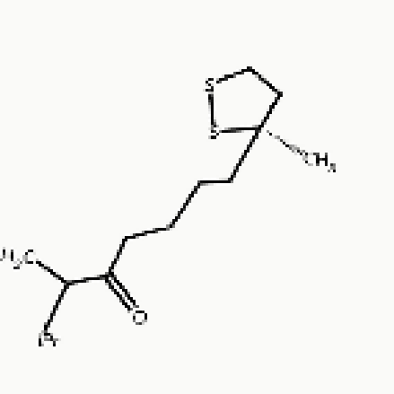 CC(C)C(C)C(=O)CCCC[C@]1(C)CCSS1